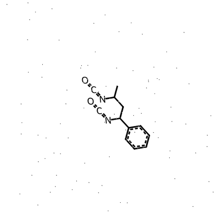 CC(CC(N=C=O)c1ccccc1)N=C=O